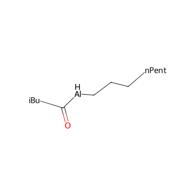 CCCCCCC[CH2][AlH][C](=O)C(C)CC